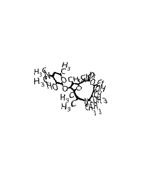 CCC1OC(=O)C(C)C2(O)OC(C)(CC(C)CN(C)C(C)C(O)C1(C)O)C(OC1OC(C)CC(N(C)C)C1O)C2C